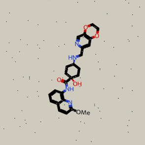 COc1ccc2cccc(NC(=O)[C@]3(O)CC[C@@H](NCc4cc5c(cn4)OCCO5)CC3)c2n1